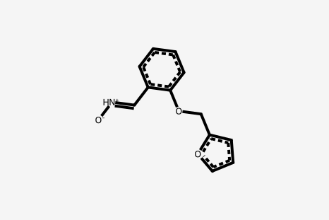 [O-][NH+]=Cc1ccccc1OCc1ccco1